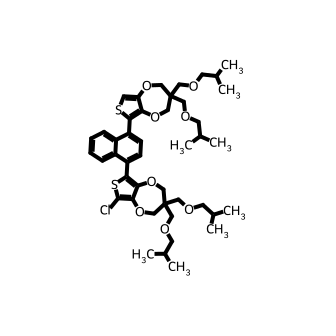 CC(C)COCC1(COCC(C)C)COc2csc(-c3ccc(-c4sc(Cl)c5c4OCC(COCC(C)C)(COCC(C)C)CO5)c4ccccc34)c2OC1